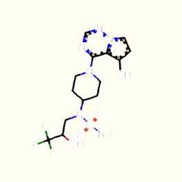 Cc1ccn2ncnc(N3CCC(N(CC(O)C(F)(F)F)S(N)(=O)=O)CC3)c12